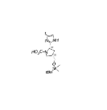 CC(C)(C)[Si](C)(C)OC[C@H]1C[C@@H](c2nc(I)c[nH]2)N(C(=O)O)C1